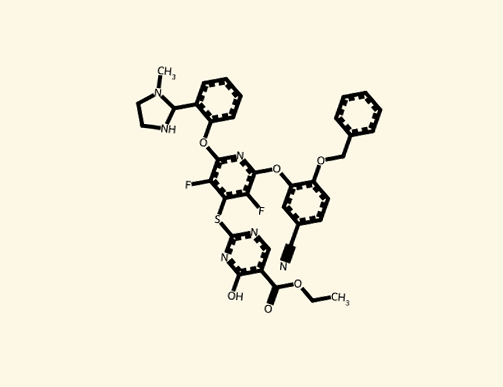 CCOC(=O)c1cnc(Sc2c(F)c(Oc3cc(C#N)ccc3OCc3ccccc3)nc(Oc3ccccc3C3NCCN3C)c2F)nc1O